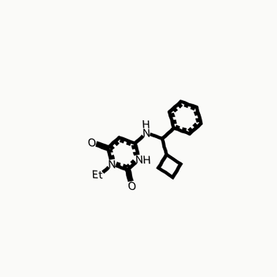 CCn1c(=O)cc(NC(c2ccccc2)C2CCC2)[nH]c1=O